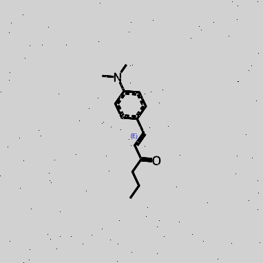 CCCC(=O)/C=C/c1ccc(N(C)C)cc1